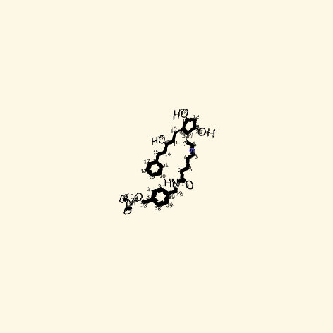 O=C(CCC/C=C\C[C@@H]1[C@@H](CC[C@@H](O)CCc2ccccc2)[C@H](O)C[C@@H]1O)NCc1ccc(CO[N+](=O)[O-])cc1